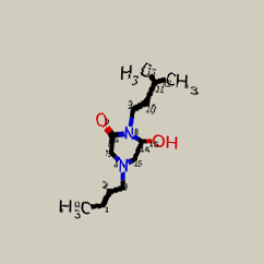 CCCCN1CC(=O)N(CCC(C)C)C(O)C1